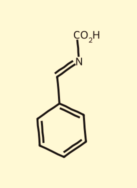 O=C(O)N=Cc1ccccc1